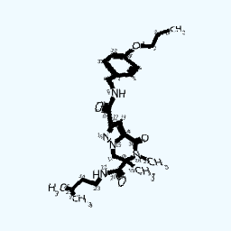 CCCOc1ccc(CNC(=O)c2cc3n(n2)CC(C)(C(=O)NCCC(C)C)N(C)C3=O)cc1